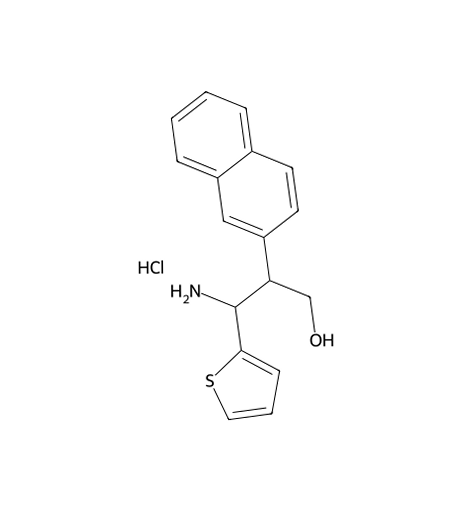 Cl.NC(c1cccs1)C(CO)c1ccc2ccccc2c1